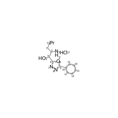 CC(C)CC(N)C(O)c1nnc(-c2ccccc2)o1.Cl